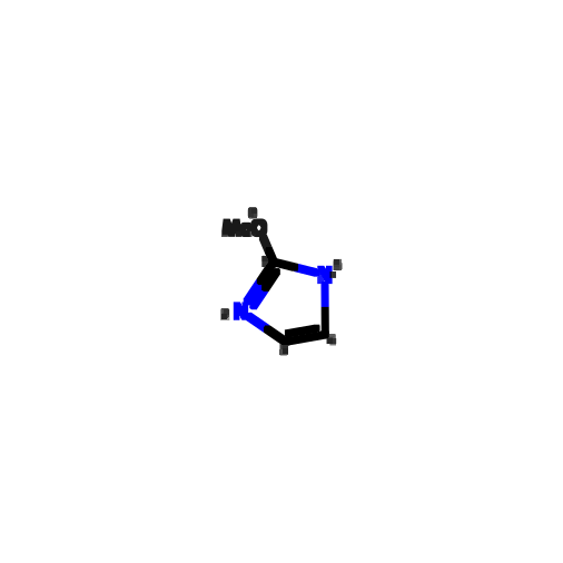 COC1=NC=C[N]1